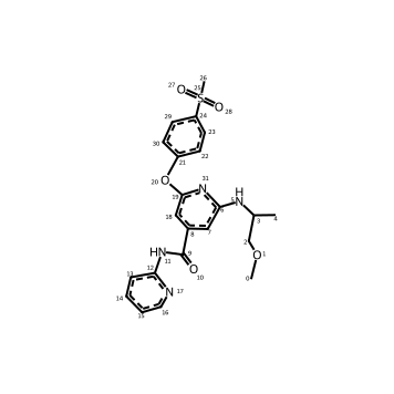 COCC(C)Nc1cc(C(=O)Nc2ccccn2)cc(Oc2ccc(S(C)(=O)=O)cc2)n1